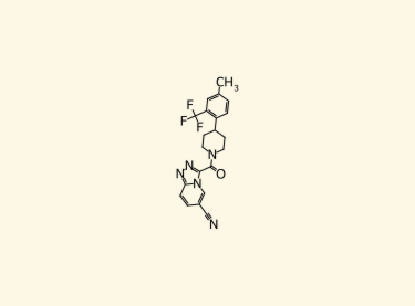 Cc1ccc(C2CCN(C(=O)c3nnc4ccc(C#N)cn34)CC2)c(C(F)(F)F)c1